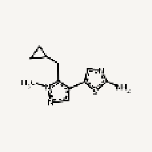 Cn1ncc(-c2cnc(N)s2)c1CC1CC1